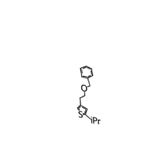 CC(C)c1cc(CCOCc2ccccc2)cs1